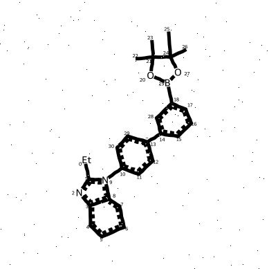 CCc1nc2ccccc2n1-c1ccc(-c2cccc(B3OC(C)(C)C(C)(C)O3)c2)cc1